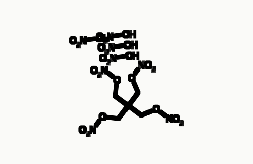 O=[N+]([O-])O.O=[N+]([O-])O.O=[N+]([O-])O.O=[N+]([O-])O.O=[N+]([O-])OCC(CO[N+](=O)[O-])(CO[N+](=O)[O-])CO[N+](=O)[O-]